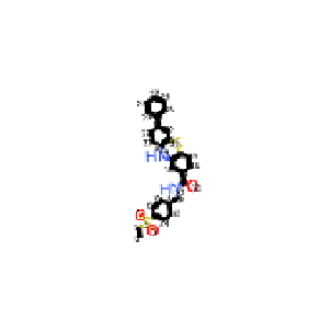 CCS(=O)(=O)c1ccc(CNC(=O)c2ccc3c(c2)Nc2ccc(-c4ccccc4)cc2S3)cc1